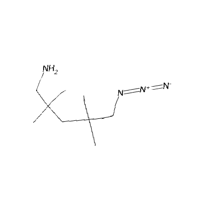 CC(C)(CN)CC(C)(C)CN=[N+]=[N-]